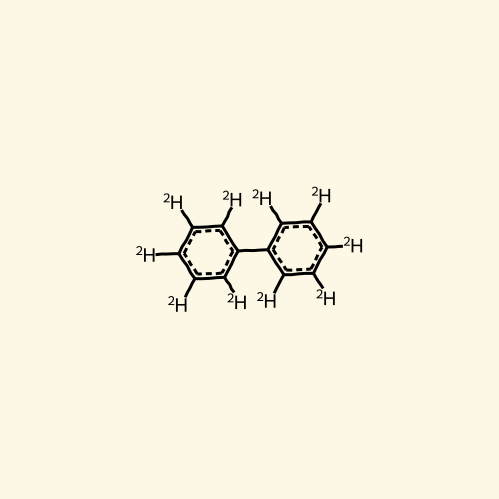 [2H]c1c([2H])c([2H])c(-c2c([2H])c([2H])c([2H])c([2H])c2[2H])c([2H])c1[2H]